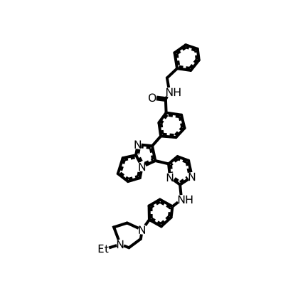 CCN1CCN(c2ccc(Nc3nccc(-c4c(-c5cccc(C(=O)NCc6ccccc6)c5)nc5ccccn45)n3)cc2)CC1